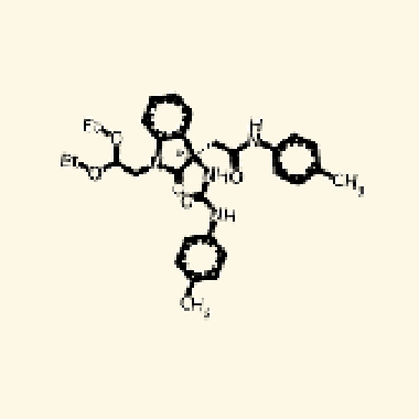 CCOC(CN1C(=O)[C@](CC(=O)Nc2ccc(C)cc2)(NC(=O)Nc2ccc(C)cc2)c2ccccc21)OCC